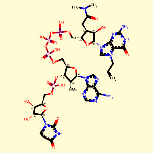 C=CC[n+]1cn([C@@H]2O[C@H](COP(=O)(O)OP(=O)(O)OP(=O)(O)OC[C@H]3O[C@@H](n4cnc5c(N)ncnc54)[C@H](OC)[C@@H]3OP(=O)(O)OC[C@H]3O[C@@H](n4ccc(=O)[nH]c4=O)[C@H](O)[C@@H]3O)[C@@H](CC(=O)N(C)C)[C@H]2O)c2nc(N)[nH]c(=O)c21